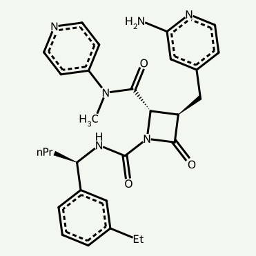 CCC[C@@H](NC(=O)N1C(=O)[C@H](Cc2ccnc(N)c2)[C@H]1C(=O)N(C)c1ccncc1)c1cccc(CC)c1